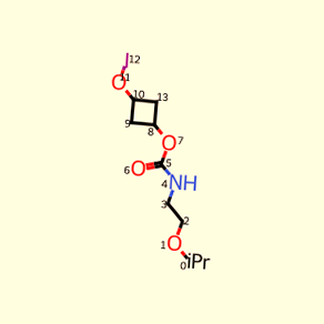 CC(C)OCCNC(=O)OC1CC(OI)C1